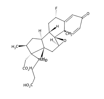 C[C@H]1C[C@H]2[C@@H]3C[C@H](F)C4=CC(=O)C=C[C@]4(C)[C@@]34O[C@H]4C[C@]2(C)[C@@]1(CC(=O)O)C(=O)CCC(=O)O